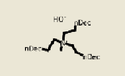 CCCCCCCCCCCC[N+](C)(CCCCCCCCCCCC)CCCCCCCCCCCC.[OH-]